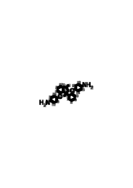 CC(C)CC(C)(c1ccccc1Oc1ccc(N)cc1)c1ccccc1Oc1ccc(N)cc1